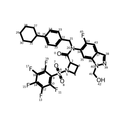 O=C([C@H]1CCN1S(=O)(=O)c1c(F)c(F)c(F)c(F)c1F)N(Cc1ccc(C2CCCCC2)cc1)c1cc2c(cnn2CO)cc1F